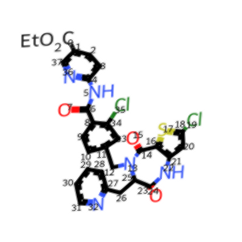 CCOC(=O)c1ccc(NC(=O)c2ccc(CN3C(=O)c4sc(Cl)cc4NC(=O)C3Cc3ccccn3)cc2Cl)nc1